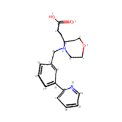 O=C(O)CC1COCCN1Cc1cccc(-c2ccccn2)c1